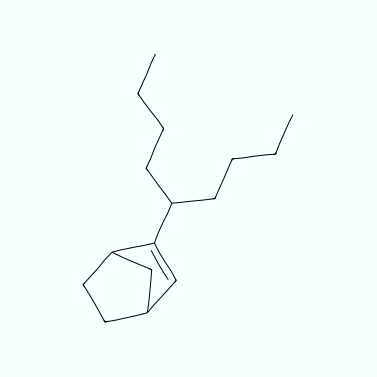 CCCCC(CCCC)C1=CC2CCC1C2